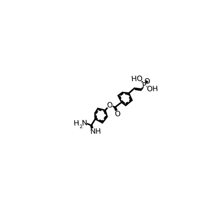 N=C(N)c1ccc(OC(=O)c2ccc(C=CP(=O)(O)O)cc2)cc1